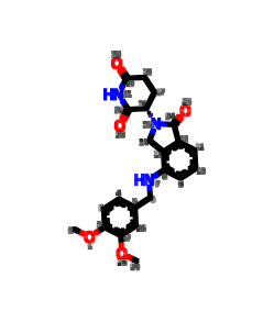 COc1ccc(CNc2cccc3c2CN([C@H]2CCC(=O)NC2=O)C3=O)cc1OC